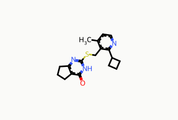 Cc1ccnc(C2CCC2)c1CSc1nc2c(c(=O)[nH]1)CCC2